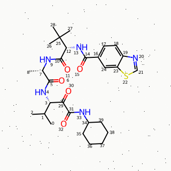 CC(C)[C@H](NC(=O)[C@H](C)NC(=O)[C@@H](NC(=O)c1ccc2ncsc2c1)C(C)(C)C)C(=O)C(=O)NC1CCCCC1